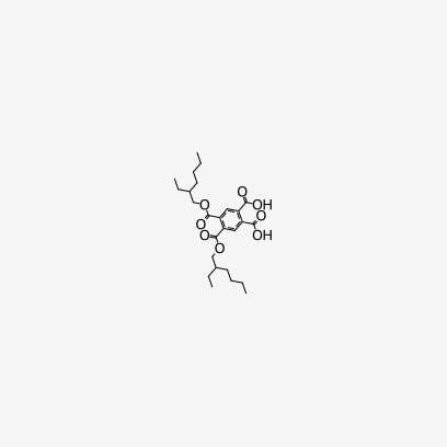 CCCCC(CC)COC(=O)c1cc(C(=O)O)c(C(=O)O)cc1C(=O)OCC(CC)CCCC